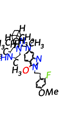 COc1ccc(CCn2cnc3cc(N(C)/C(=N/[C@H]4C[C@H]5C[C@@H]([C@@H]4C)C5(C)C)N4C[C@H](C)N[C@@H](C)C4)ccc3c2=O)c(F)c1